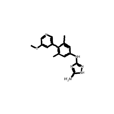 CSc1cncc(-c2c(C)cc(Nc3n[nH]c(N)n3)cc2C)c1